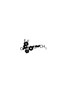 CCCCOCC1CCC([C@H]2CCCN2c2nc3cc(F)c(F)cc3cc2C=O)CC1